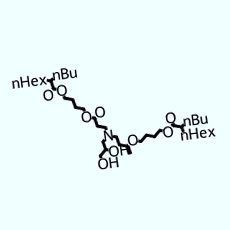 C=C(CCN(CCC(=O)OCCCCOC(=O)C(CCCC)CCCCCC)CC(O)CO)OCCCCOC(=O)C(CCCC)CCCCCC